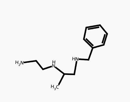 CC(CNCc1ccccc1)NCCN